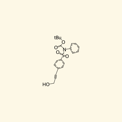 CC(C)(C)OC(=O)N(c1ccccc1)S(=O)(=O)c1ccc(C#CCO)cc1